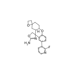 NC1=NC2(CO1)c1cc(-c3cccnc3F)ccc1OC1CCC3(CCO3)C[C@@H]12